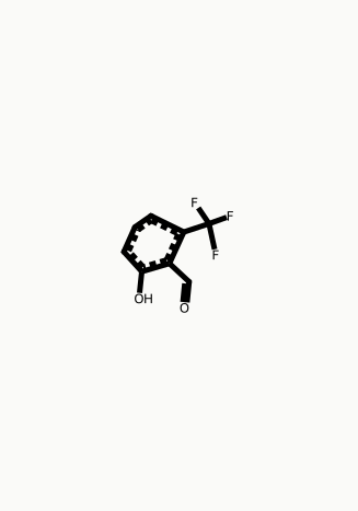 O=Cc1c(O)cccc1C(F)(F)F